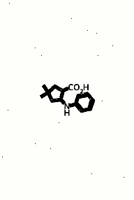 CC1(C)CC(Nc2ccccc2)C(C(=O)O)C1